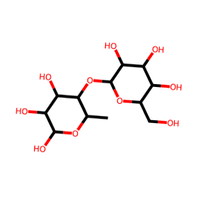 CC1OC(O)C(O)C(O)C1OC1OC(CO)C(O)C(O)C1O